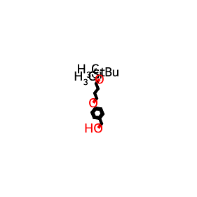 CC(C)(C)[Si](C)(C)OCCCCOc1ccc(CO)cc1